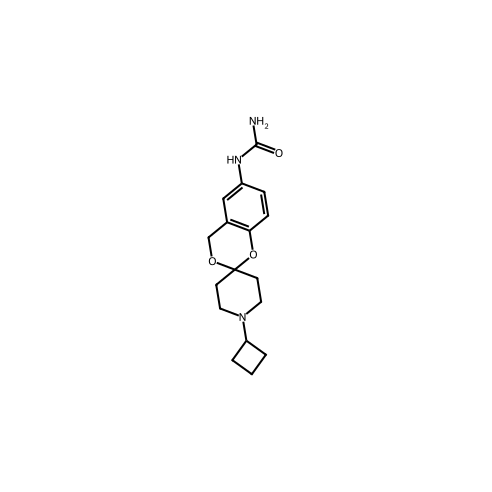 NC(=O)Nc1ccc2c(c1)COC1(CCN(C3CCC3)CC1)O2